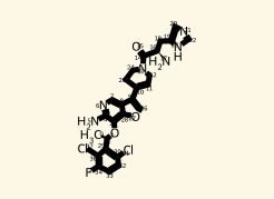 C[C@@H](Oc1c(N)ncc2c(C3=CCN(C(=O)[C@@H](N)Cc4cnc[nH]4)CC3)coc12)c1c(Cl)ccc(F)c1Cl